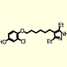 CCc1n[nH]c(CC)c1CCCCCCOc1ccc(O)cc1Cl